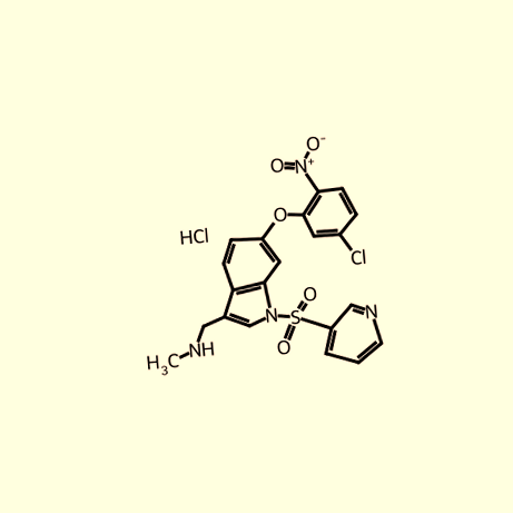 CNCc1cn(S(=O)(=O)c2cccnc2)c2cc(Oc3cc(Cl)ccc3[N+](=O)[O-])ccc12.Cl